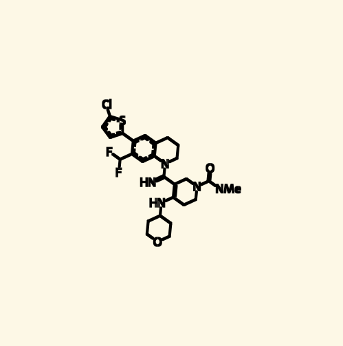 CNC(=O)N1CCC(NC2CCOCC2)=C(C(=N)N2CCCc3cc(-c4ccc(Cl)s4)c(C(F)F)cc32)C1